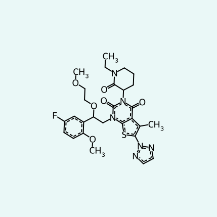 CCN1CCCC(n2c(=O)c3c(C)c(-n4nccn4)sc3n(CC(OCCOC)c3cc(F)ccc3OC)c2=O)C1=O